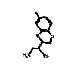 Cc1ccc2c(c1)OC(C(O)CN)CO2